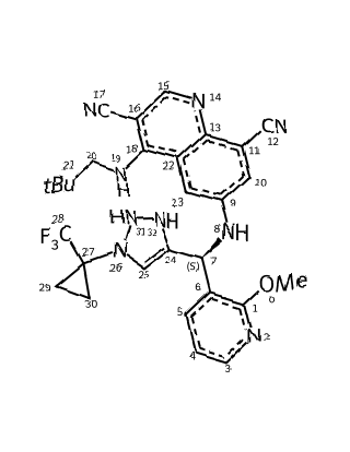 COc1ncccc1[C@H](Nc1cc(C#N)c2ncc(C#N)c(NCC(C)(C)C)c2c1)C1=CN(C2(C(F)(F)F)CC2)NN1